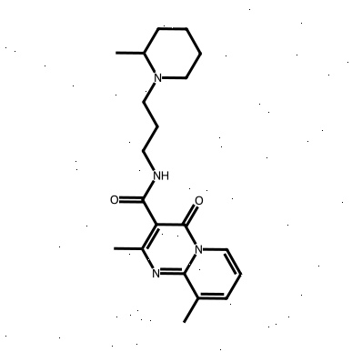 Cc1nc2c(C)cccn2c(=O)c1C(=O)NCCCN1CCCCC1C